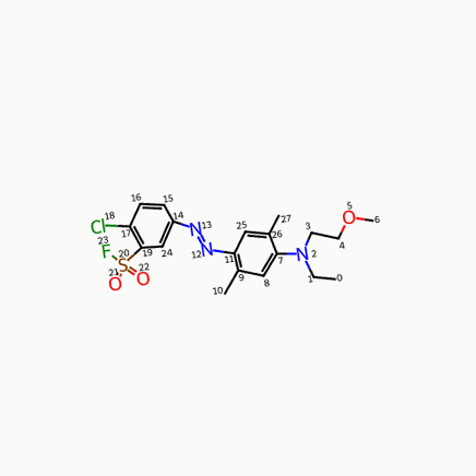 CCN(CCOC)c1cc(C)c(N=Nc2ccc(Cl)c(S(=O)(=O)F)c2)cc1C